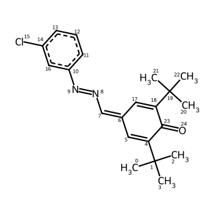 CC(C)(C)C1=CC(=CN=Nc2cccc(Cl)c2)C=C(C(C)(C)C)C1=O